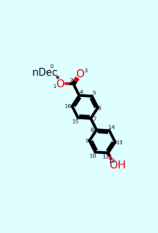 CCCCCCCCCCOC(=O)c1ccc(-c2ccc(O)cc2)cc1